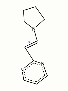 C(=C\N1CCCC1)/c1ncccn1